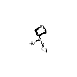 OB(OCl)c1ccncc1